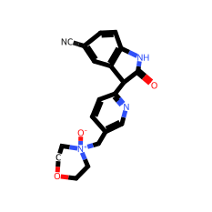 N#Cc1ccc2c(c1)C(c1ccc(C[N+]3([O-])CCOCC3)cn1)C(=O)N2